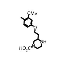 COc1cc(OCCC2CN(C(=O)O)CCN2)ccc1C